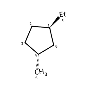 CC[C@@H]1CC[C@@H](C)C1